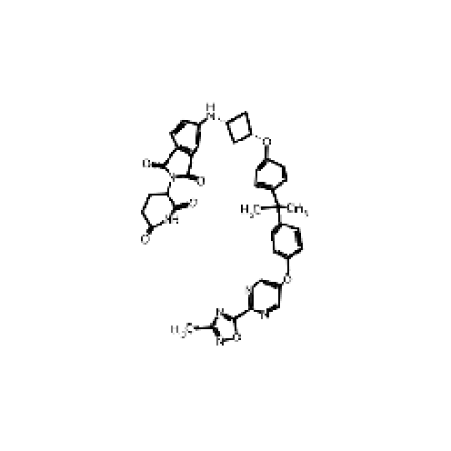 Cc1noc(-c2ncc(Oc3ccc(C(C)(C)c4ccc(O[C@H]5C[C@@H](Nc6ccc7c(c6)C(=O)N(C6CCC(=O)NC6=O)C7=O)C5)cc4)cc3)cn2)n1